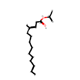 CCCCCCCCCCC(C)=CCC(=O)OC(C)C